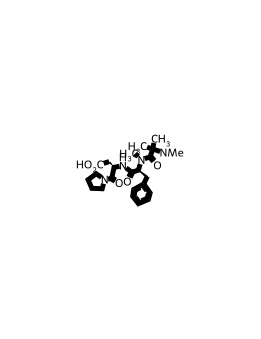 CNC(C)(C)C(=O)N(C)[C@@H](Cc1ccccc1)C(=O)N[C@@H](CC(=O)O)C(=O)N1CCCC1